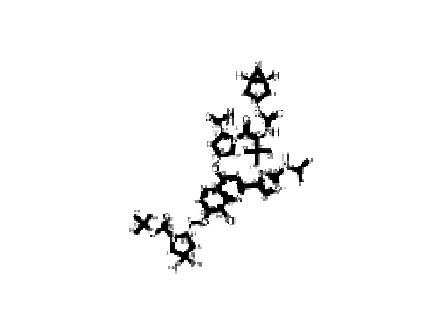 CC(C)Nc1nc(-c2cc(O[C@@H]3C[C@@H](C(N)=O)N(C(=O)[C@@H](NC(=O)O[C@@H]4C[C@@H]5C[C@@H]5C4)C(C)(C)C)C3)c3ccc(OC[C@@H]4CC(F)(F)CN4C(=O)OC(C)(C)C)c(Cl)c3n2)cs1